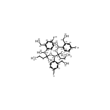 CCCC(C)(OB(c1ccc(F)cc1CO)C(C)(CCC)OB(O)c1ccc(F)cc1CO)B(O)c1ccc(F)cc1CO